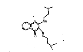 CN(C)CCN=Cc1c(NCCN(C)C)nc2ccccn2c1=O